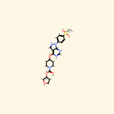 CS(=O)(=O)c1ccc(-n2ncc3c(OC4CCN(C(=O)O[C@H]5CCOC5)CC4)ncnc32)cc1